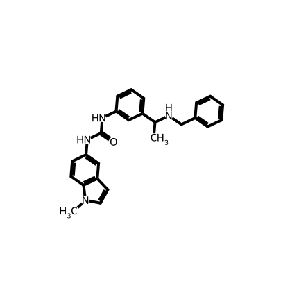 CC(NCc1ccccc1)c1cccc(NC(=O)Nc2ccc3c(ccn3C)c2)c1